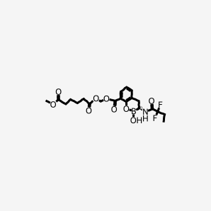 CCC(F)(F)C(=O)N[C@H]1Cc2cccc(C(=O)OCOC(=O)CCCCC(=O)OC)c2OB1O